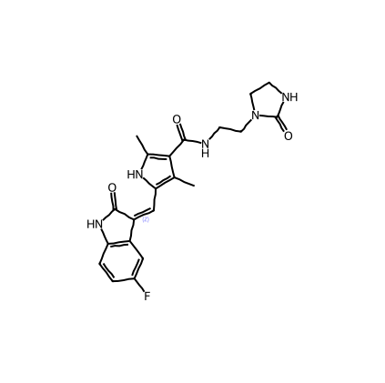 Cc1[nH]c(/C=C2\C(=O)Nc3ccc(F)cc32)c(C)c1C(=O)NCCN1CCNC1=O